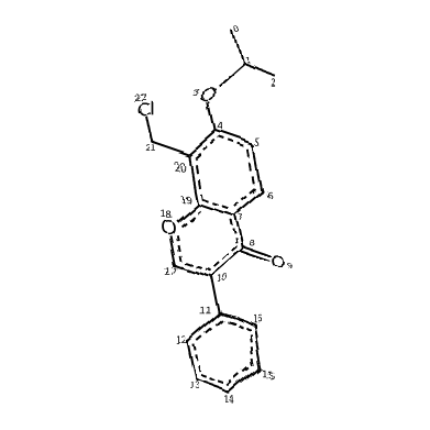 CC(C)Oc1ccc2c(=O)c(-c3ccccc3)coc2c1CCl